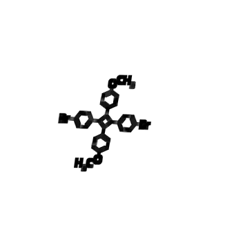 COc1ccc(C2C(c3ccc(Br)cc3)C(c3ccc(OC)cc3)C2c2ccc(Br)cc2)cc1